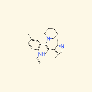 C=CNc1ccc(C)cc1/C(=C(\C)C1=C(C)CN=C1C)N1CCCCC1